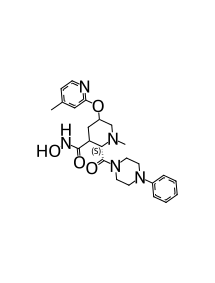 Cc1ccnc(OC2CC(C(=O)NO)[C@@H](C(=O)N3CCN(c4ccccc4)CC3)N(C)C2)c1